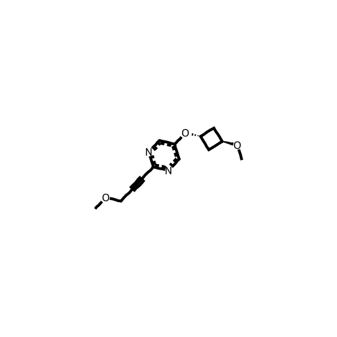 COCC#Cc1ncc(O[C@H]2C[C@H](OC)C2)cn1